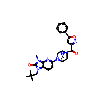 Cn1c(=O)n(CC(C)(C)C)c2ccc(N3CC4CCC3CN4C(=O)c3cc(-c4ccccc4)on3)nc21